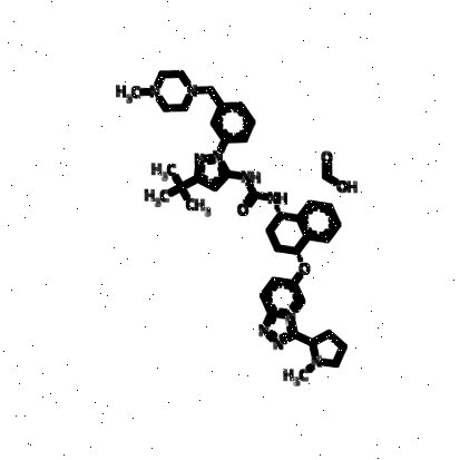 CN1CCN(Cc2cccc(-n3nc(C(C)(C)C)cc3NC(=O)N[C@H]3CC[C@@H](Oc4ccc5nnc(C6CCCN6C)n5c4)c4ccccc43)c2)CC1.O=CO